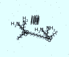 CCCCCOP(=O)(CCN(CCCN)CCCN)OCCCCCCCCCCCCOP(=O)(CCN(CCCN)CCCN)OCCCCC.Cl.Cl.Cl.Cl.Cl.Cl